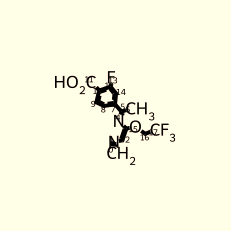 C=N/C=C(\N=C(/C)c1ccc(C(=O)O)c(F)c1)OCC(F)(F)F